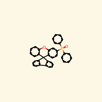 O=P(c1ccccc1)(c1ccccc1)c1ccc2c(c1)Oc1ccccc1C21c2ccccc2-c2ccccc21